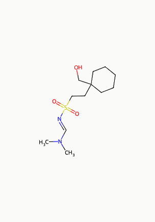 CN(C)C=NS(=O)(=O)CCC1(CO)CCCCC1